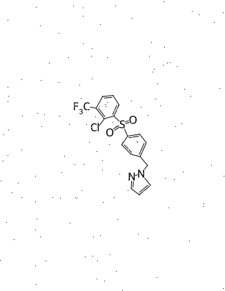 O=S(=O)(c1ccc(Cn2cccn2)cc1)c1cccc(C(F)(F)F)c1Cl